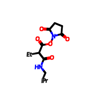 CCC(C(=O)NCC(C)C)C(=O)ON1C(=O)CCC1=O